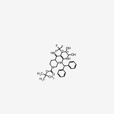 CC(C)(C)OC(=O)N1CCC(C(=N)C2=C(NC(c3ccccc3)c3ccccc3)NC(O)[C@H](O)[C@@H]2C(F)(F)F)CC1